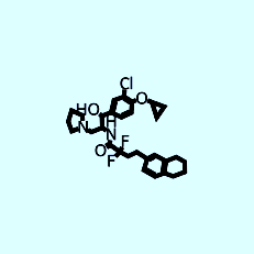 O=C(NC(CN1CCCC1)C(O)c1ccc(OC2CC2)c(Cl)c1)C(F)(F)CCc1ccc2c(c1)CCCC2